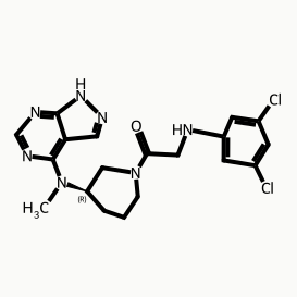 CN(c1ncnc2[nH]ncc12)[C@@H]1CCCN(C(=O)CNc2cc(Cl)cc(Cl)c2)C1